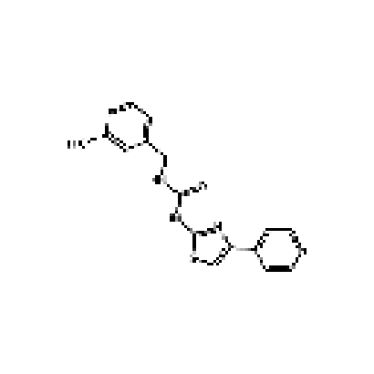 Cc1cccc(CNC(=O)Nc2nc(-c3ccncc3)cs2)c1